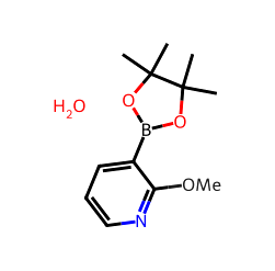 COc1ncccc1B1OC(C)(C)C(C)(C)O1.O